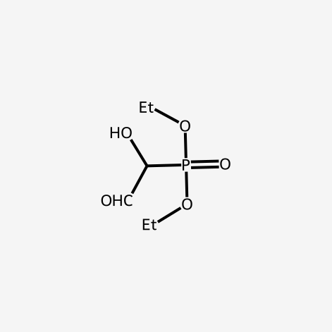 CCOP(=O)(OCC)C(O)C=O